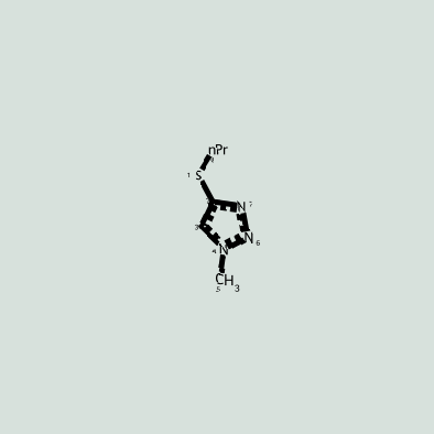 [CH2]CCSc1cn(C)nn1